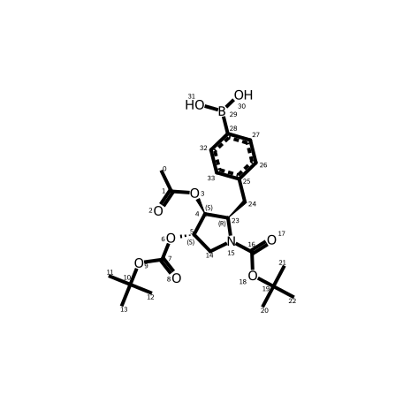 CC(=O)O[C@@H]1[C@@H](OC(=O)OC(C)(C)C)CN(C(=O)OC(C)(C)C)[C@@H]1Cc1ccc(B(O)O)cc1